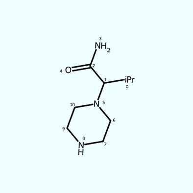 CC(C)C(C(N)=O)N1CCNCC1